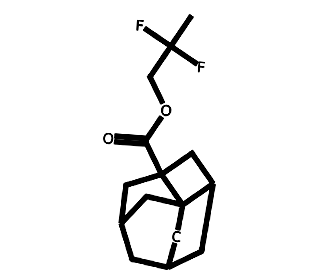 CC(F)(F)COC(=O)C12CC3CC4CC(C1)C2(C4)C3